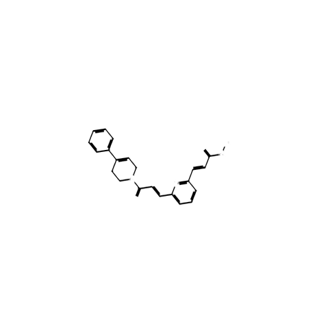 O=C(/C=C/c1cccc(/C=C/C(=O)N2CC=C(c3ccccc3)CC2)n1)NO